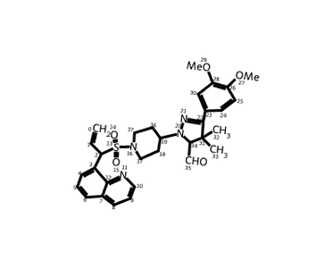 C=CC(c1cccc2cccnc12)S(=O)(=O)N1CCC(N2N=C(c3ccc(OC)c(OC)c3)C(C)(C)C2C=O)CC1